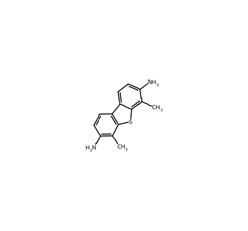 Cc1c(N)ccc2c1sc1c(C)c(N)ccc12